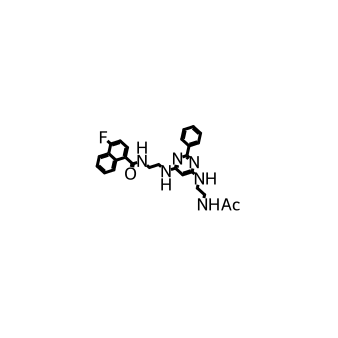 CC(=O)NCCNc1cc(NCCNC(=O)c2ccc(F)c3ccccc23)nc(-c2ccccc2)n1